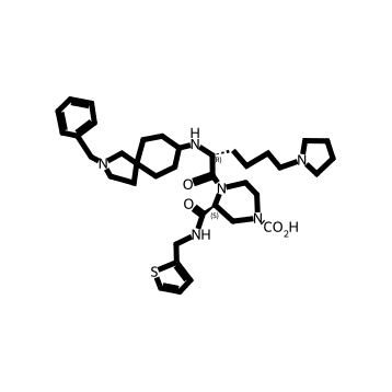 O=C(NCc1cccs1)[C@@H]1CN(C(=O)O)CCN1C(=O)[C@@H](CCCCN1CCCC1)NC1CCC2(CC1)CCN(Cc1ccccc1)C2